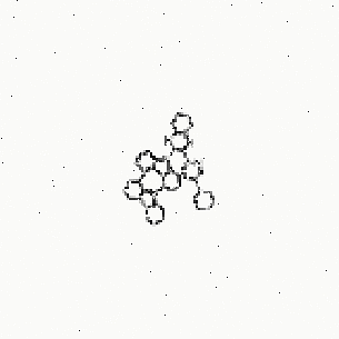 c1ccc(-c2ccc(-c3nc4ccccc4nc3-n3c4cccc5c6cccc7c8ccccc8n(c8cccc3c8c54)c67)nc2)cc1